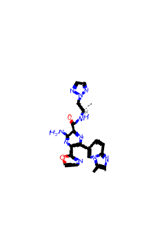 Cc1cnc2ccc(-c3nc(C(=O)N[C@@H](C)Cn4nccn4)c(N)nc3-c3ncco3)cn12